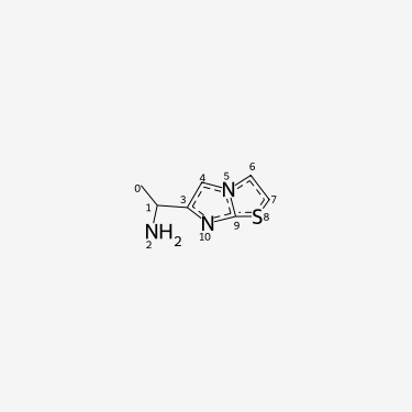 CC(N)c1cn2ccsc2n1